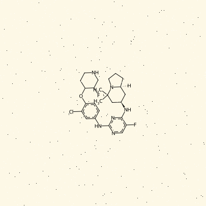 CC1(C)C[C@H](Nc2nc(Nc3ccc(OC4CCNCC4F)c(Cl)c3)ncc2F)C[C@@H]2CCCN21